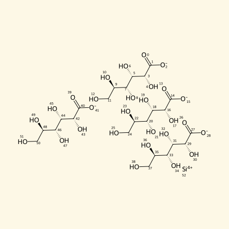 O=C([O-])[C@H](O)[C@@H](O)[C@H](O)[C@H](O)CO.O=C([O-])[C@H](O)[C@@H](O)[C@H](O)[C@H](O)CO.O=C([O-])[C@H](O)[C@@H](O)[C@H](O)[C@H](O)CO.O=C([O-])[C@H](O)[C@@H](O)[C@H](O)[C@H](O)CO.[Si+4]